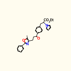 CCOC(=O)C(Cc1ccc(C(=O)CCc2nc(-c3ccccc3)oc2C)cc1)n1cccc1